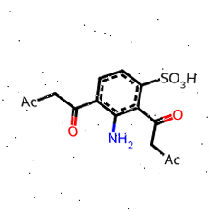 CC(=O)CC(=O)c1ccc(S(=O)(=O)O)c(C(=O)CC(C)=O)c1N